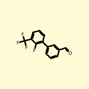 O=Cc1cccc(-c2cccc(C(F)(F)F)c2F)c1